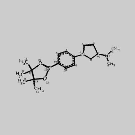 CN(C)[C@@H]1CCN(c2ccc(B3OC(C)(C)C(C)(C)O3)cc2)C1